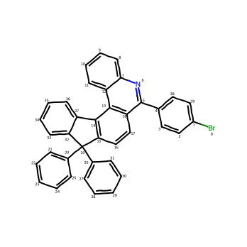 Brc1ccc(-c2nc3ccccc3c3c4c(ccc23)C(c2ccccc2)(c2ccccc2)c2ccccc2-4)cc1